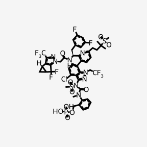 CN(C(=O)N(c1nn(CC(F)(F)F)c2c(-c3ccc(CCC(C)(C)S(C)(=O)=O)nc3[C@H](Cc3cc(F)cc(F)c3)NC(=O)Cn3nc(C(F)(F)F)c4c3C(F)(F)C3C[C@H]43)ccc(Cl)c12)S(C)(=O)=O)c1ccccc1COP(=O)(O)O